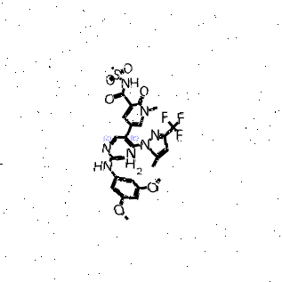 C=C(/N=C\C(=C(/N)n1nc(C(F)(F)F)cc1C)c1cc(C(=O)NS(C)(=O)=O)c(=O)n(C)c1)Nc1cc(OC)cc(OC)c1